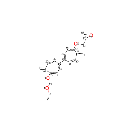 CCOCOC1=CC=C(C2=CC=C(OCC3CO3)C(C)C=C2)C=CC1C